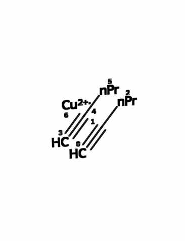 C#CCC[CH2-].C#CCC[CH2-].[Cu+2]